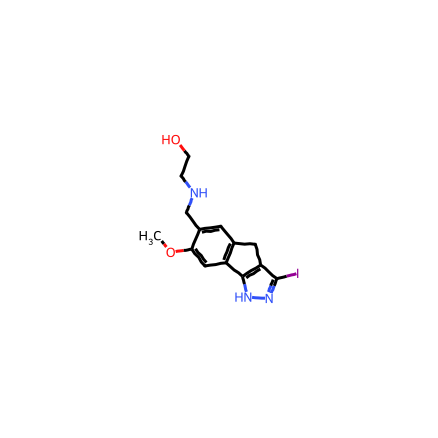 COc1cc2c(cc1CNCCO)Cc1c(I)n[nH]c1-2